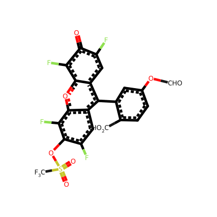 O=COc1ccc(C(=O)O)c(-c2c3cc(F)c(=O)c(F)c-3oc3c(F)c(OS(=O)(=O)C(F)(F)F)c(F)cc23)c1